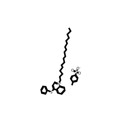 CCCCCCCCCCCCCCCCCC[n+]1ccc(Sc2ccccc2)c2ccccc21.Cc1ccc(S(=O)(=O)[O-])cc1